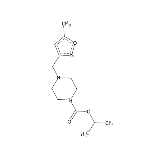 Cc1cc(CN2CCN(C(=O)OC(C)C(F)(F)F)CC2)no1